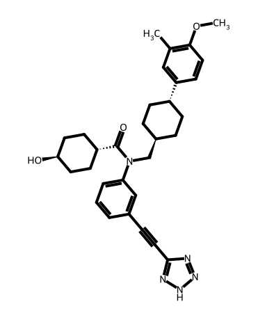 COc1ccc([C@H]2CC[C@H](CN(c3cccc(C#Cc4nn[nH]n4)c3)C(=O)[C@H]3CC[C@H](O)CC3)CC2)cc1C